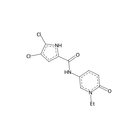 CCn1cc(NC(=O)c2cc(Cl)c(Cl)[nH]2)ccc1=O